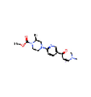 CCC1CN(c2ccc(C(=O)/C=C\N(C)C)cn2)CCN1C(=O)OC(C)(C)C